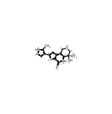 Cc1[nH]ncc1-c1cc2c3c([nH]c(=O)c2s1)[C@](O)(C(F)(F)F)COC3